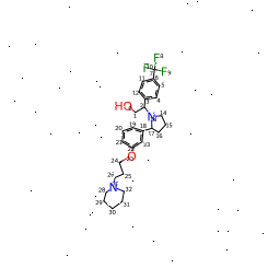 OCC(c1ccc(C(F)(F)F)cc1)N1CCCC1c1cccc(OCCCN2CCCCC2)c1